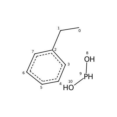 CCc1ccccc1.OPO